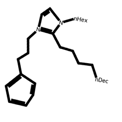 CCCCCCCCCCCCCCc1n(CCCCCC)cc[n+]1CCCc1ccccc1